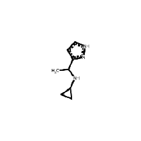 CC(NC1CC1)c1cc[nH]n1